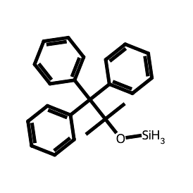 CC(C)(O[SiH3])C(c1ccccc1)(c1ccccc1)c1ccccc1